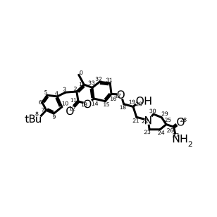 Cc1c(Cc2ccc(C(C)(C)C)cc2)c(=O)oc2cc(OCC(O)CN3CCC(C(N)=O)CC3)ccc12